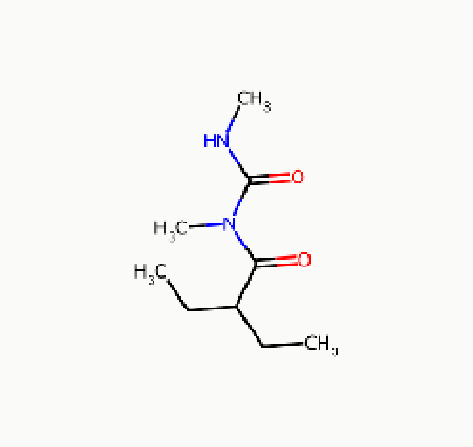 CCC(CC)C(=O)N(C)C(=O)NC